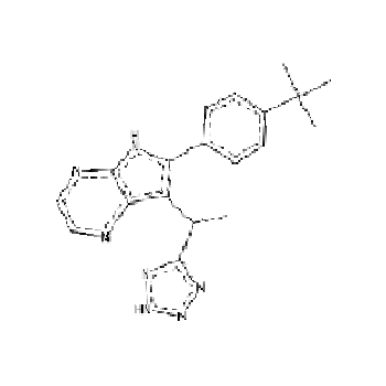 CC(c1nn[nH]n1)c1c(-c2ccc(C(C)(C)C)cc2)[nH]c2nccnc12